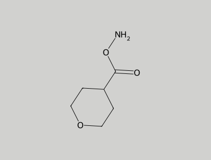 NOC(=O)C1CCOCC1